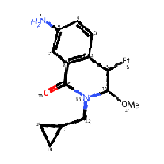 CCC1c2ccc(N)cc2C(=O)N(CC2CC2)C1OC